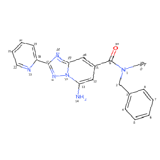 CC(C)N(Cc1ccccc1)C(=O)c1cc(N)n2nc(-c3ccccn3)nc2c1